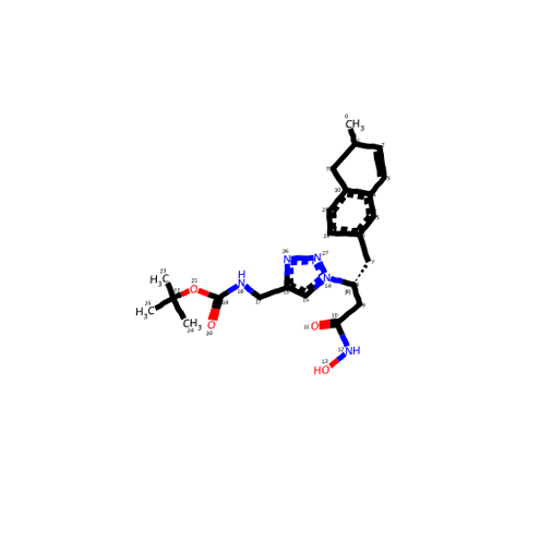 CC1C=Cc2cc(C[C@H](CC(=O)NO)n3cc(CNC(=O)OC(C)(C)C)nn3)ccc2C1